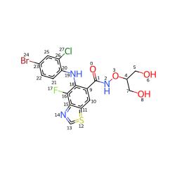 O=C(NOC(CO)CO)c1cc2scnc2c(F)c1Nc1ccc(Br)cc1Cl